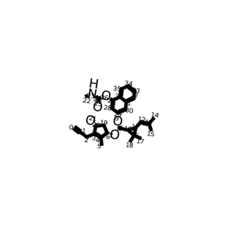 C#CCC1=C(C)[C@@H](OC(=O)C2C(C=C(C)C)C2(C)C)CC1=O.CNC(=O)Oc1cccc2ccccc12